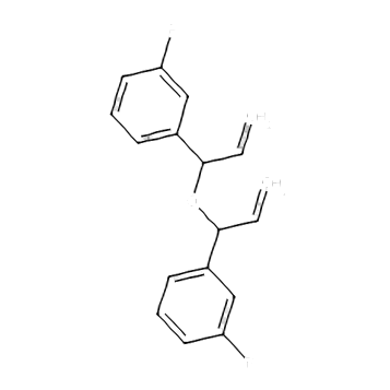 C=CC(OC(C=C)c1cccc(F)c1)c1cccc(F)c1